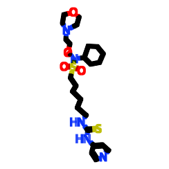 O=S(=O)(CCCCCCNC(=S)Nc1ccncc1)N(OCCN1CCOCC1)C1CCCCC1